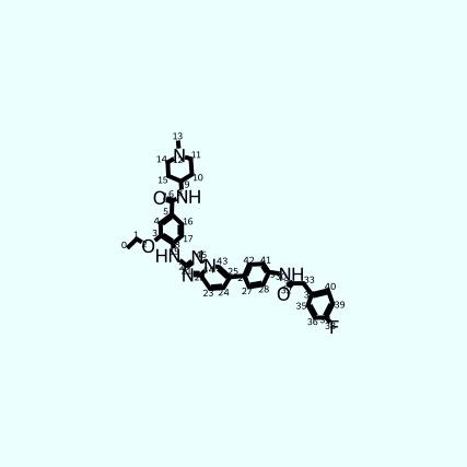 CCOc1cc(C(=O)NC2CCN(C)CC2)ccc1Nc1nc2ccc(-c3ccc(NC(=O)Cc4ccc(F)cc4)cc3)cn2n1